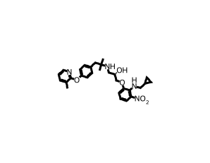 Cc1cccnc1Oc1ccc(CC(C)(C)NC[C@H](O)COc2cccc([N+](=O)[O-])c2NCC2CC2)cc1